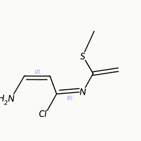 C=C(/N=C(Cl)\C=C/N)SC